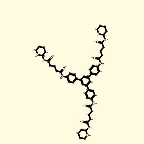 O=C(CCCC(=O)OC1CCCCO1)Oc1ccc(-c2cc(-c3ccc(OC(=O)CCCC(=O)OC4CCCCO4)cc3)cc(-c3ccc(OC(=O)CCCC(=O)OC4CCCCO4)cc3)c2)cc1